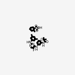 Cc1cc(C)cc(Nc2ncc(F)c(Nc3ccc4c(c3)NC(=O)C(C)(C)O4)n2)c1.Cc1ccccc1S(=O)(=O)O